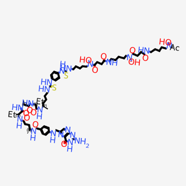 CC[C@H](NC(=O)CC[C@@H](C)NC(=O)c1ccc(NCc2cnc3nc(N)[nH]c(=O)c3n2)cc1)C(=O)N[C@@H](C)C(=O)N[C@@H](CC)C(=O)N[C@H](C)CCCCNC(=S)Nc1ccc(NC(=S)NCCCCCN(O)C(=O)CCC(=O)NCCCCCN(O)C(=O)CCC(=O)NCCCCCN(O)C(C)=O)cc1